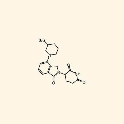 CC(C)(C)C1CCCN(c2cccc3c2CN(C2CCC(=O)NC2=O)C3=O)C1